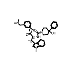 C[C@@H](c1c[nH]c2ccccc12)[C@@H](NC(=O)N1CCC(O)(c2ccccc2)CC1)C(=O)Nc1cccc(CN(C)C)c1